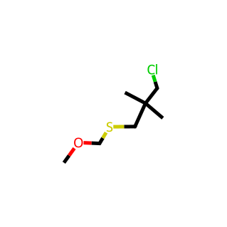 COCSCC(C)(C)CCl